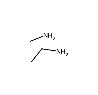 CCN.CN